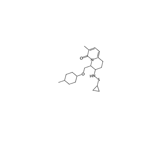 Cc1ccc2n(c1=O)C(COC1CCC(C)CC1)C(NSC1CC1)CC2